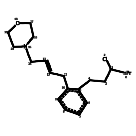 CCCC(Cl)CCc1ccccc1CC=CCN1CCOCC1